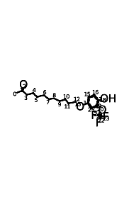 CC(=O)CCCCCCCCCCOc1ccc(O)c(OC(F)(F)F)c1